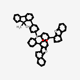 CC1(C)c2ccccc2-c2cccc(-c3ccc(N(c4ccc(-c5cccc6c5oc5ccccc56)cc4)c4ccccc4-c4cccc5oc6c7ccccc7ccc6c45)cc3)c21